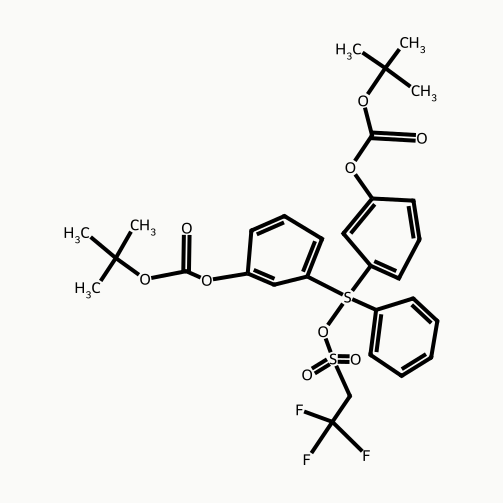 CC(C)(C)OC(=O)Oc1cccc(S(OS(=O)(=O)CC(F)(F)F)(c2ccccc2)c2cccc(OC(=O)OC(C)(C)C)c2)c1